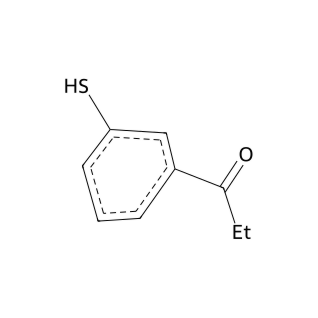 [CH2]CC(=O)c1cccc(S)c1